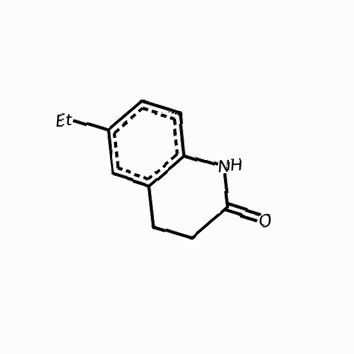 CCc1ccc2c(c1)CCC(=O)N2